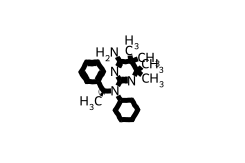 C[C@@H](c1ccccc1)N(C1=NC(C)(C)C(C)(C)C(N)=N1)C1CCCCC1